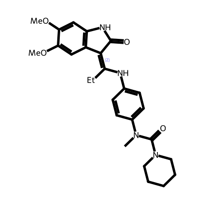 CC/C(Nc1ccc(N(C)C(=O)N2CCCCC2)cc1)=C1/C(=O)Nc2cc(OC)c(OC)cc21